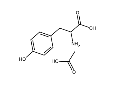 CC(=O)O.NC(Cc1ccc(O)cc1)C(=O)O